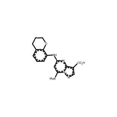 CNc1cc(Nc2cccc3c2OCCC3)nc2c(C(=O)O)cnn12